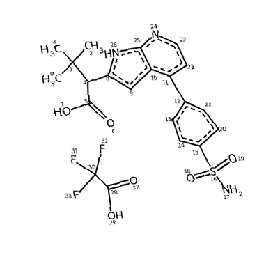 CC(C)(C)C(C(=O)O)c1cc2c(-c3ccc(S(N)(=O)=O)cc3)ccnc2[nH]1.O=C(O)C(F)(F)F